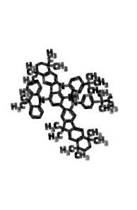 CC(C)(C)c1ccc(Nc2cc3c(cc2-c2cc(N4c5ccccc5C(C)(C)c5ccccc54)c4c5cc6c(cc5n5c4c2Bc2cc(C(C)(C)C)ccc2-5)C(C)(C)CCC6(C)C)C(C)(C)c2cc4c(cc2-3)C(C)(C)CCC4(C)C)cc1